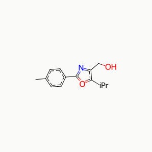 Cc1ccc(-c2nc(CO)c(C(C)C)o2)cc1